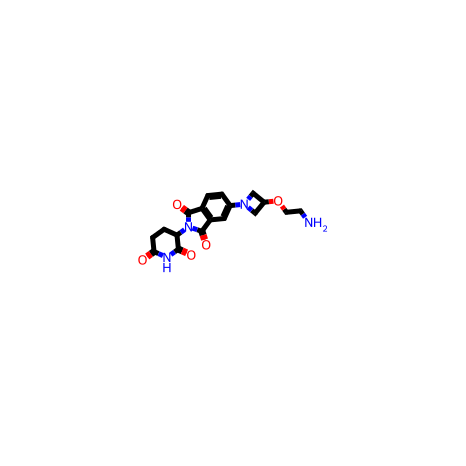 NCCOC1CN(c2ccc3c(c2)C(=O)N(C2CCC(=O)NC2=O)C3=O)C1